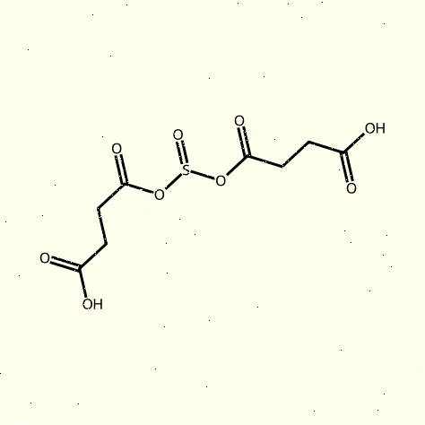 O=C(O)CCC(=O)OS(=O)OC(=O)CCC(=O)O